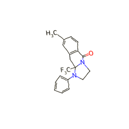 Cc1ccc2c(c1)CC1(C(F)(F)F)N(CCN1c1ccccc1)C2=O